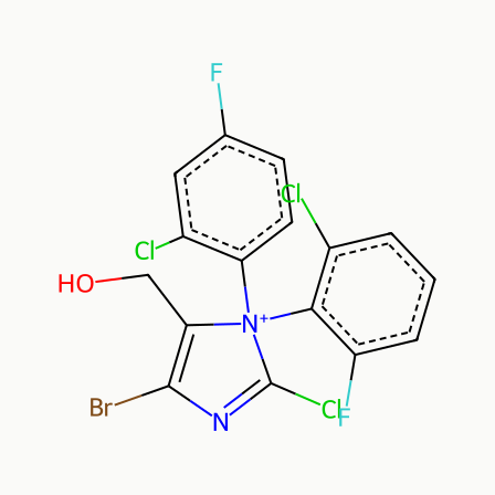 OCC1=C(Br)N=C(Cl)[N+]1(c1ccc(F)cc1Cl)c1c(F)cccc1Cl